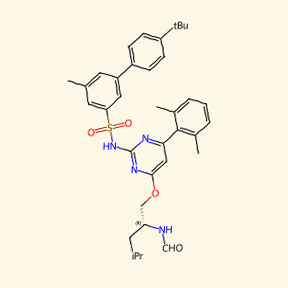 Cc1cc(-c2ccc(C(C)(C)C)cc2)cc(S(=O)(=O)Nc2nc(OC[C@@H](CC(C)C)NC=O)cc(-c3c(C)cccc3C)n2)c1